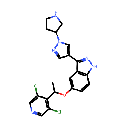 CC(Oc1ccc2[nH]nc(-c3cnn([C@H]4CCNC4)c3)c2c1)c1c(Cl)cncc1Cl